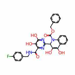 O=C(NCc1ccc(F)cc1)c1nc(C2C(O)=C(O)c3ccccc3N2C(=O)OCc2ccccc2)nc(O)c1O